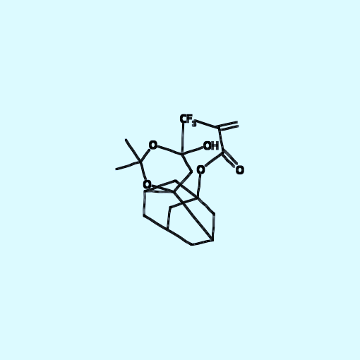 C=C(C)C(=O)OC12CC3CC(C1)C1(CC(O)(C(F)(F)F)OC(C)(C)O1)C(C3)C2